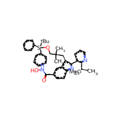 CCn1c(-c2cccnc2C(C)OC)c(CC(C)(C)CO[Si](c2ccccc2)(c2ccccc2)C(C)(C)C)c2cc(C(=O)NO)ccc21